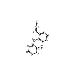 O=C=Nc1ccccc1Oc1ccccc1Cl